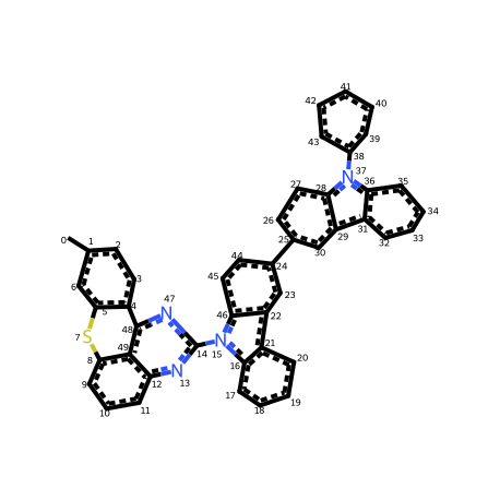 Cc1ccc2c(c1)Sc1cccc3nc(-n4c5ccccc5c5cc(-c6ccc7c(c6)c6ccccc6n7-c6ccccc6)ccc54)nc-2c13